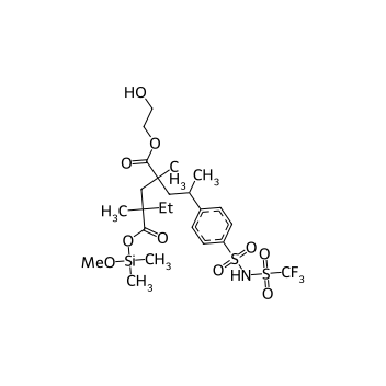 CCC(C)(CC(C)(CC(C)c1ccc(S(=O)(=O)NS(=O)(=O)C(F)(F)F)cc1)C(=O)OCCO)C(=O)O[Si](C)(C)OC